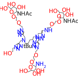 CC(=O)NC1C(OCCOCCN/C=C(/CN(CCCC[C@@H](N(Cc2cn(CCO)nn2)Cc2cn(CCOCCOC3OC(CO)C(O)C(O)C3NC(C)=O)nn2)C(C)(C)C)Cc2cn(CCOCCOC3OC(CO)C(O)C(O)C3N)nn2)N=N)OC(CO)C(O)C1O